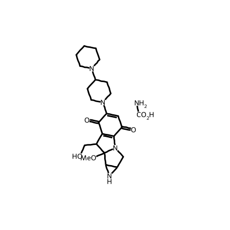 COC12C(CO)C3=C(C(=O)C=C(N4CCC(N5CCCCC5)CC4)C3=O)N1CC1NC12.NC(=O)O